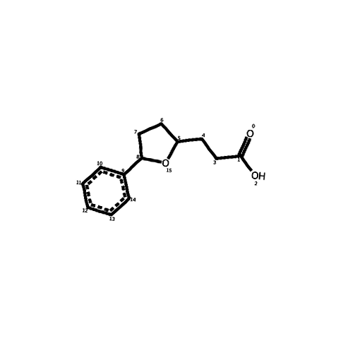 O=C(O)CCC1CCC(c2ccccc2)O1